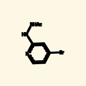 CC(=O)NNc1cc(Br)ccn1